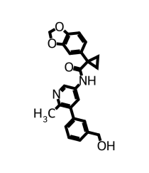 Cc1ncc(NC(=O)C2(c3ccc4c(c3)OCO4)CC2)cc1-c1cccc(CO)c1